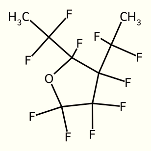 CC(F)(F)C1(F)OC(F)(F)C(F)(F)C1(F)C(C)(F)F